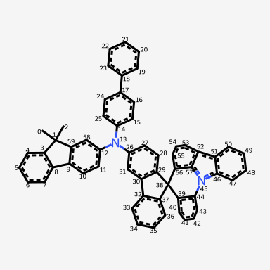 CC1(C)c2ccccc2-c2ccc(N(c3ccc(-c4ccccc4)cc3)c3ccc4c(c3)-c3ccccc3C43c4ccccc4-n4c5ccccc5c5cccc3c54)cc21